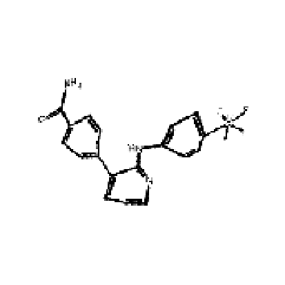 NC(=O)c1ccc(-c2cccnc2Nc2ccc([SH](F)(F)(F)F)cc2)cc1